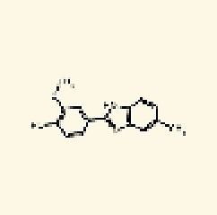 COc1cc(-c2nc3cc(C)ccc3[nH]2)ccc1O